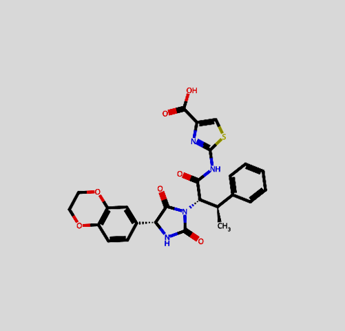 C[C@H](c1ccccc1)[C@@H](C(=O)Nc1nc(C(=O)O)cs1)N1C(=O)N[C@H](c2ccc3c(c2)OCCO3)C1=O